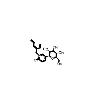 C=C/C=C(\C=C)Cn1cc([C@@H]2O[C@H](CO)[C@@H](O)[C@H](O)[C@H]2O)ccc1=O